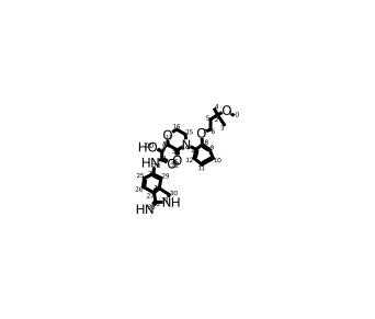 COC(C)(C)CCOc1ccccc1N1CCO[C@H](C(O)C(=O)Nc2ccc3c(c2)CNC3=N)C1=O